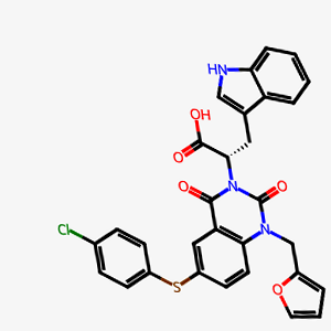 O=C(O)[C@H](Cc1c[nH]c2ccccc12)n1c(=O)c2cc(Sc3ccc(Cl)cc3)ccc2n(Cc2ccco2)c1=O